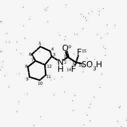 O=C(NC1CCCC2CCCCC21)C(F)(F)S(=O)(=O)O